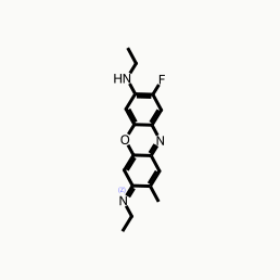 CC/N=c1/cc2oc3cc(NCC)c(F)cc3nc-2cc1C